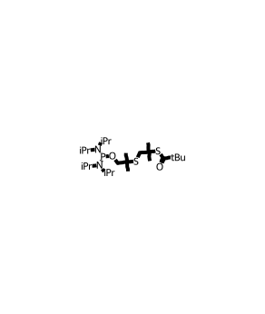 CC(C)N(C(C)C)P(OCC(C)(C)SCC(C)(C)SC(=O)C(C)(C)C)N(C(C)C)C(C)C